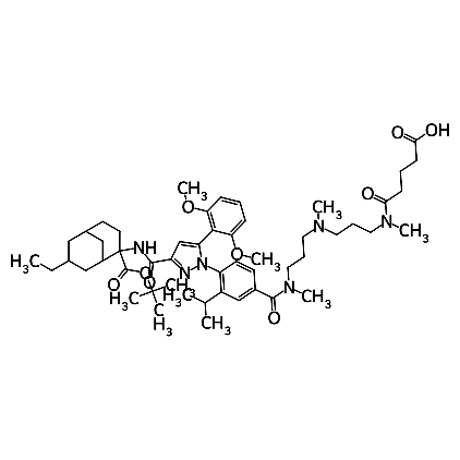 CCC1CC2CCC(NC(=O)c3cc(-c4c(OC)cccc4OC)n(-c4ccc(C(=O)N(C)CCCN(C)CCCN(C)C(=O)CCCC(=O)O)cc4C(C)C)n3)(C(=O)OC(C)(C)C)C(C1)C2